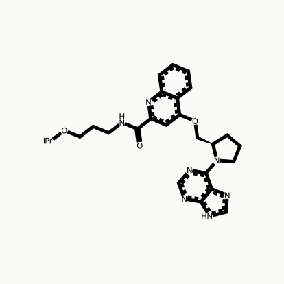 CC(C)OCCCNC(=O)c1cc(OC[C@H]2CCCN2c2ncnc3[nH]cnc23)c2ccccc2n1